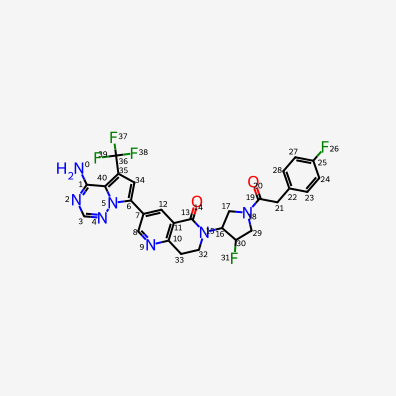 Nc1ncnn2c(-c3cnc4c(c3)C(=O)N(C3CN(C(=O)Cc5ccc(F)cc5)CC3F)CC4)cc(C(F)(F)F)c12